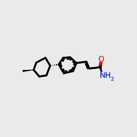 C[C@H]1CC[C@H](c2ccc(C=CC(N)=O)cc2)CC1